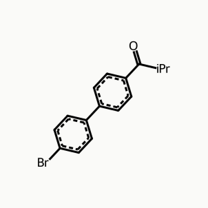 CC(C)C(=O)c1ccc(-c2ccc(Br)cc2)cc1